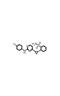 NS(=O)(=O)c1ccccc1C1CC1c1ccnc(Nc2ccc(F)cc2)n1